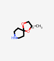 C[C@H]1COC2(CCNCC2)O1